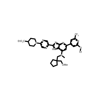 CCOC(=O)C1CCN(c2cnc(-c3nc4nc(-c5cc(OCC)nc(C(F)(F)F)c5)cc(N(C)CC5(COC)CCCC5)c4[nH]3)cn2)CC1